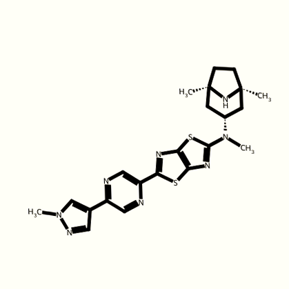 CN(c1nc2sc(-c3cnc(-c4cnn(C)c4)cn3)nc2s1)[C@H]1C[C@]2(C)CC[C@](C)(C1)N2